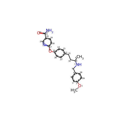 COc1ccc(CNC(C)CCc2ccc(Oc3ccc(C(N)=O)cn3)cc2)cc1